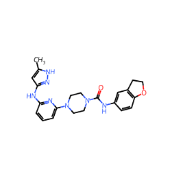 Cc1cc(Nc2cccc(N3CCN(C(=O)Nc4ccc5c(c4)CCO5)CC3)n2)n[nH]1